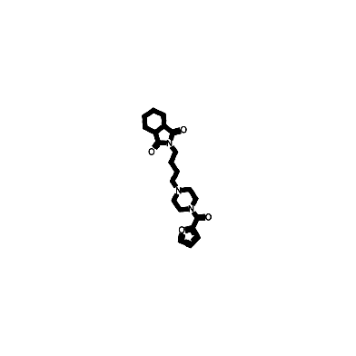 O=C(c1ccco1)N1CCN(CCCCN2C(=O)C3CCCCC3C2=O)CC1